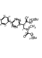 CN(CC(C(=O)NC(C)(C)C)c1nnc(-c2ccccc2)nn1)C(=O)OC(C)(C)C